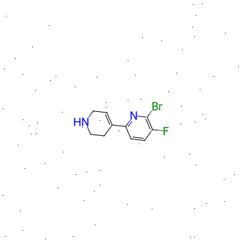 Fc1ccc(C2=CCNCC2)nc1Br